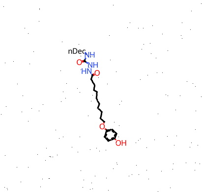 CCCCCCCCCCNC(=O)NNC(=O)CCCCCCCCCCOc1ccc(O)cc1